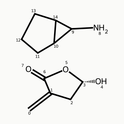 C=C1C[C@@H](O)OC1=O.NC1C2CCCC12